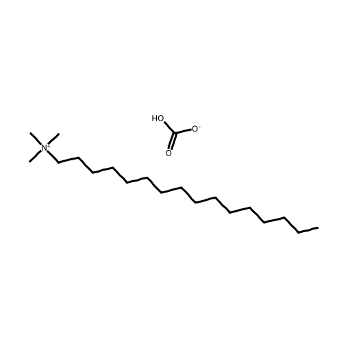 CCCCCCCCCCCCCCCC[N+](C)(C)C.O=C([O-])O